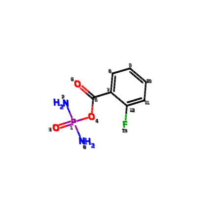 NP(N)(=O)OC(=O)c1ccccc1F